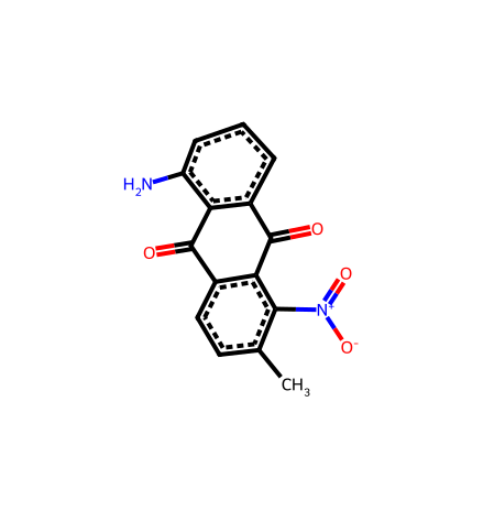 Cc1ccc2c(c1[N+](=O)[O-])C(=O)c1cccc(N)c1C2=O